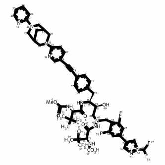 COC(=O)N[C@H](C(=O)N[C@@H](Cc1ccc(C#Cc2ccc(N3CC4CC(CN(c5ccccn5)C4)C3)nc2)cc1)[C@@H](O)CN(Cc1c(F)cc(-c2cnn(C(F)F)c2)cc1F)NC(=O)[C@@H](NC(=O)O)C(C)(C)C(F)(F)F)C(C)(C)C(F)(F)F